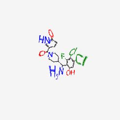 NC(c1c(O)cc(Cl)c(Cl)c1F)C1CCN(C(=O)c2ccc(=O)[nH]c2)CC1